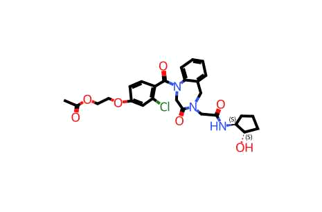 CC(=O)OCCOc1ccc(C(=O)N2CC(=O)N(CC(=O)N[C@H]3CCC[C@@H]3O)Cc3ccccc32)c(Cl)c1